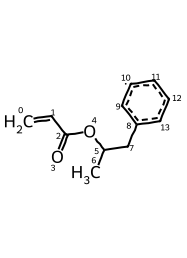 C=CC(=O)OC(C)Cc1c[c]ccc1